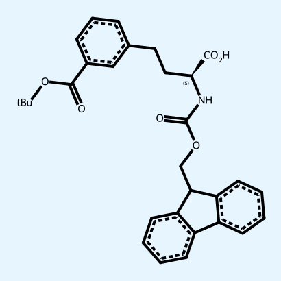 CC(C)(C)OC(=O)c1cccc(CC[C@H](NC(=O)OCC2c3ccccc3-c3ccccc32)C(=O)O)c1